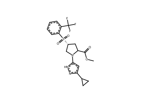 COC(=O)C1C[C@@H](S(=O)(=O)c2ccccc2C(F)(F)F)CN1c1cc(C2CC2)n[nH]1